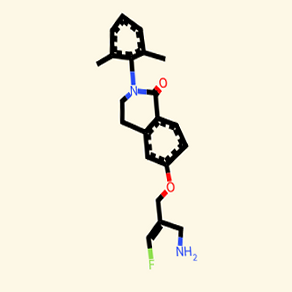 Cc1cccc(C)c1N1CCc2cc(OC/C(=C/F)CN)ccc2C1=O